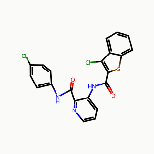 O=C(Nc1ccc(Cl)cc1)c1ncccc1NC(=O)c1sc2ccccc2c1Cl